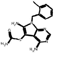 Cc1ccccc1Cn1c(N)c(SC(N)=O)c2c(N)ncnc21